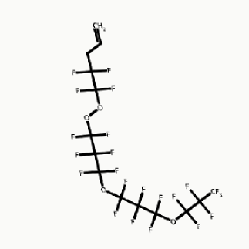 C=CCC(F)(F)C(F)(F)OOC(F)(F)C(F)(F)C(F)(F)OC(F)(F)C(F)(F)C(F)(F)OC(F)(F)C(F)(F)C(F)(F)F